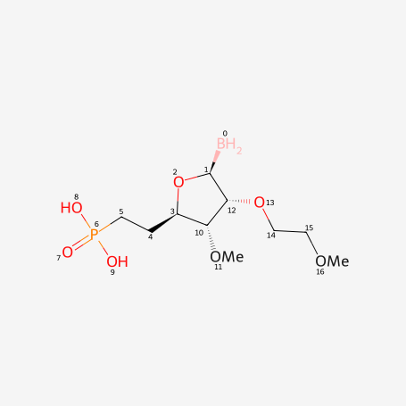 B[C@@H]1O[C@H](CCP(=O)(O)O)[C@@H](OC)[C@H]1OCCOC